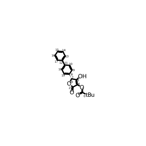 CC(C)(C)C(=O)OC1=C(O)[C@@H](c2ccc(-c3ccccc3)cc2)OC1=O